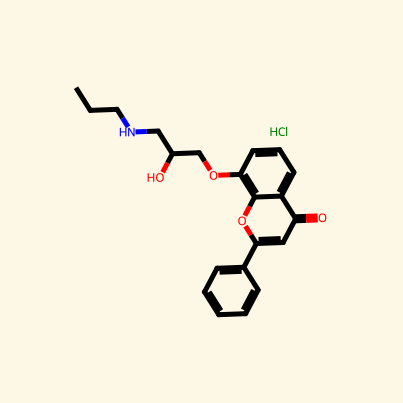 CCCNCC(O)COc1cccc2c(=O)cc(-c3ccccc3)oc12.Cl